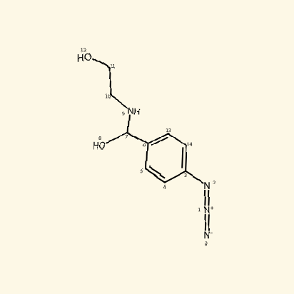 [N-]=[N+]=Nc1ccc(C(O)NCCO)cc1